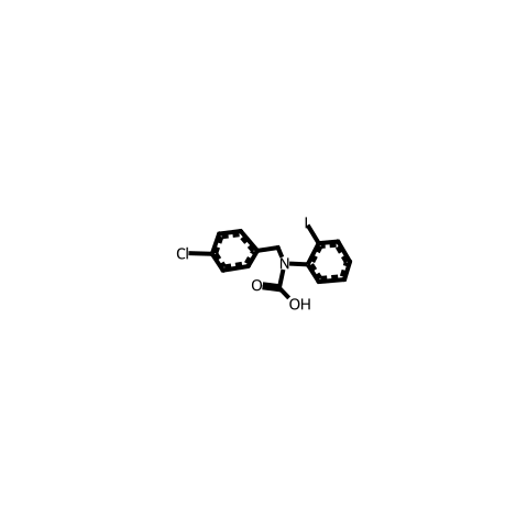 O=C(O)N(Cc1ccc(Cl)cc1)c1ccccc1I